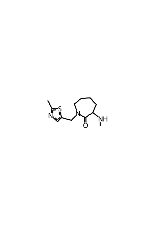 CNC1CCCCN(Cc2cnc(C)s2)C1=O